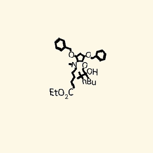 CCCCC(C)(C)C(C)(O)COC1C(OCc2ccccc2)CC(OCc2ccccc2)C1N(C)CCCCCC(=O)OCC